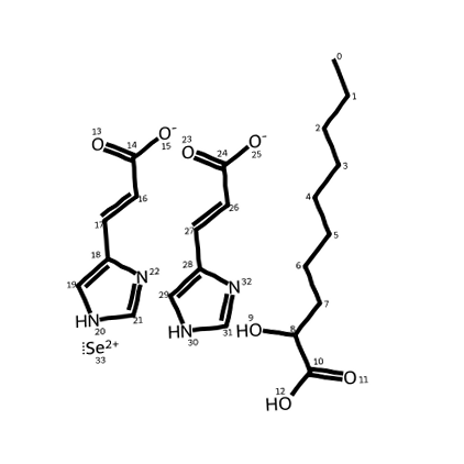 CCCCCCCCC(O)C(=O)O.O=C([O-])C=Cc1c[nH]cn1.O=C([O-])C=Cc1c[nH]cn1.[Se+2]